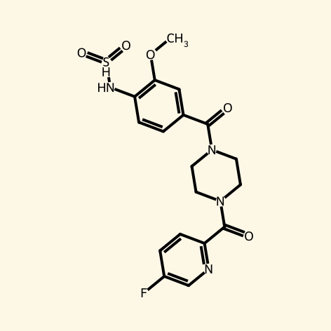 COc1cc(C(=O)N2CCN(C(=O)c3ccc(F)cn3)CC2)ccc1N[SH](=O)=O